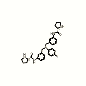 O=C(Nc1cccc(CN(Cc2cccc(NC(=O)[C@@H]3CCCN3)c2)c2ccc(F)cc2)c1)[C@@H]1CCCN1